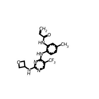 C=CC(=O)Nc1cc(C)ccc1Nc1nc(NC2COC2)ncc1C(F)(F)F